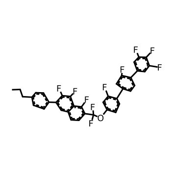 CCCc1ccc(-c2cc3ccc(C(F)(F)Oc4ccc(-c5ccc(-c6cc(F)c(F)c(F)c6)c(F)c5)c(F)c4)c(F)c3c(F)c2F)cc1